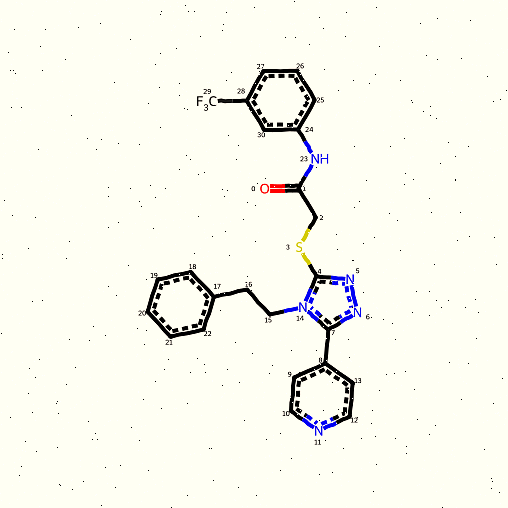 O=C(CSc1nnc(-c2ccncc2)n1CCc1ccccc1)Nc1cccc(C(F)(F)F)c1